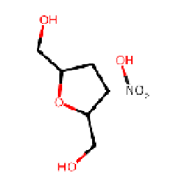 O=[N+]([O-])O.OCC1CCC(CO)O1